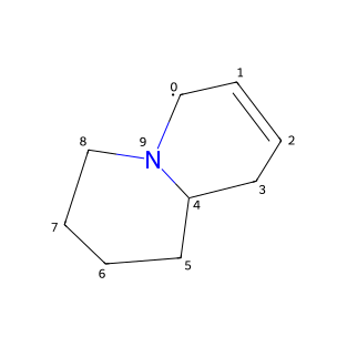 [CH]1C=CCC2CCCCN12